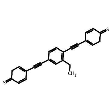 CCc1cc(C#CC2=CCC(=S)C=C2)ccc1C#CC1=CCC(=S)C=C1